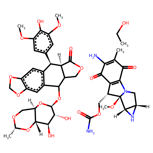 CCO.CO[C@@]12[C@H](COC(N)=O)C3=C(C(=O)C(C)=C(N)C3=O)N1C[C@@H]1N[C@@H]12.COc1cc([C@@H]2c3cc4c(cc3C(O[C@@H]3O[C@@H]5CO[C@@H](C)O[C@H]5[C@H](O)[C@H]3O)C3COC(=O)[C@@H]32)OCO4)cc(OC)c1O